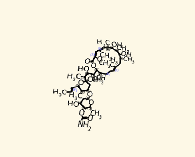 C/C=C/[C@H]1O[C@@](O)([C@@H](C)[C@H](O)[C@H](C)[C@H]2OC(=O)/C(OC)=C/C(C)=C/[C@@H](C)[C@@H](O)[C@@H](C)[C@@H](O)[C@H](C)C/C(C)=C/C=C/[C@@H]2O)C[C@@H](O[C@@H]2C[C@H](O)[C@@H](OC(N)=O)[C@H](C)O2)[C@@H]1C